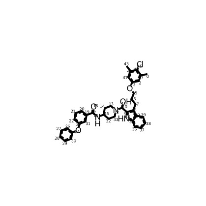 Cc1cc(OCCCc2c(C(O)N3CCC(NC(=O)c4cccc(Oc5ccccc5)c4)CC3)[nH]c3ccccc23)cc(C)c1Cl